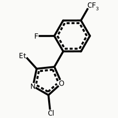 CCc1nc(Cl)oc1-c1ccc(C(F)(F)F)cc1F